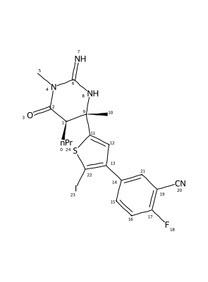 CCC[C@H]1C(=O)N(C)C(=N)N[C@]1(C)c1cc(-c2ccc(F)c(C#N)c2)c(I)s1